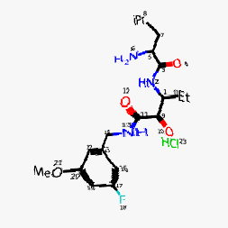 CCC(NC(=O)C(N)CC(C)C)C(=O)C(=O)NCc1cc(F)cc(OC)c1.Cl